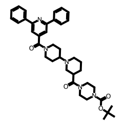 CC(C)(C)OC(=O)N1CCN(C(=O)C2CCCN(C3CCN(C(=O)c4cc(-c5ccccc5)nc(-c5ccccc5)c4)CC3)C2)CC1